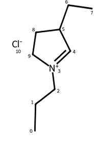 CCC[N+]1=CC(CC)CC1.[Cl-]